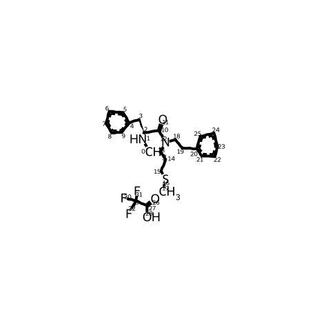 CN[C@@H](Cc1ccccc1)C(=O)N(CCCSC)CCc1ccccc1.O=C(O)C(F)(F)F